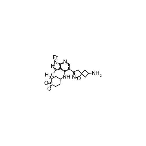 CCn1nc(C)c2c(NC3CCS(=O)(=O)CC3)c(C3=NOC4(C3)CC(N)C4)cnc21